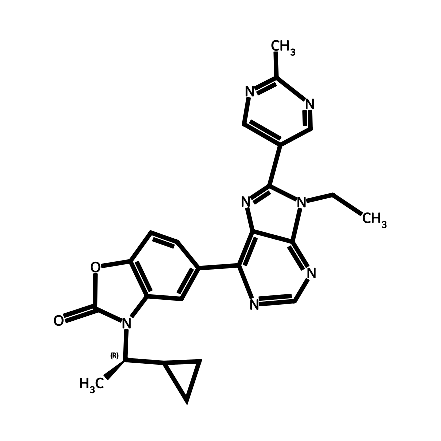 CCn1c(-c2cnc(C)nc2)nc2c(-c3ccc4oc(=O)n([C@H](C)C5CC5)c4c3)ncnc21